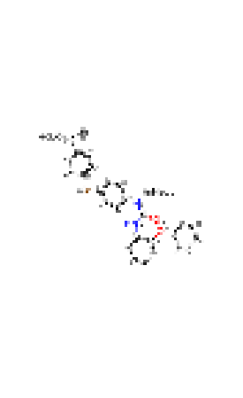 CCCCCCCN(C(=O)Nc1ccccc1Oc1ccccc1)c1ccc(Sc2ccc(C(CC)C(=O)O)cc2)cc1